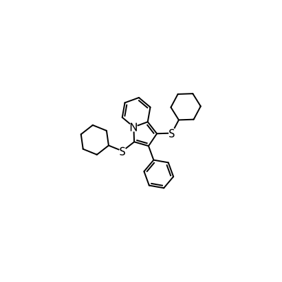 c1ccc(-c2c(SC3CCCCC3)c3ccccn3c2SC2CCCCC2)cc1